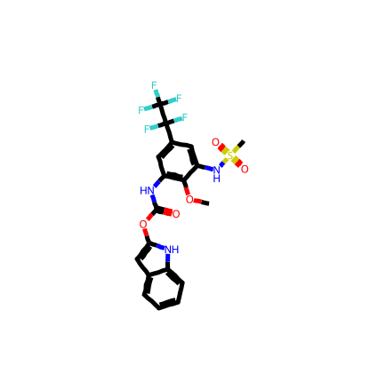 COc1c(NC(=O)Oc2cc3ccccc3[nH]2)cc(C(F)(F)C(F)(F)F)cc1NS(C)(=O)=O